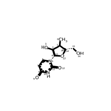 CC1C(O)[C@@H](n2ccc(=O)[nH]c2=O)O[C@H]1CO